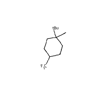 CC(C)(C)C1(C)CCC(C(F)(F)F)CC1